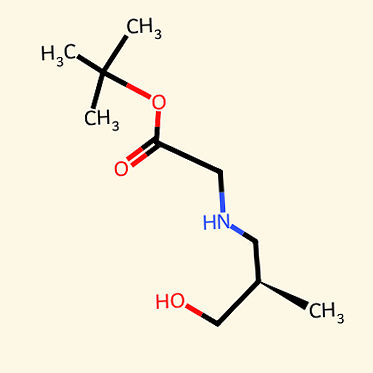 C[C@@H](CO)CNCC(=O)OC(C)(C)C